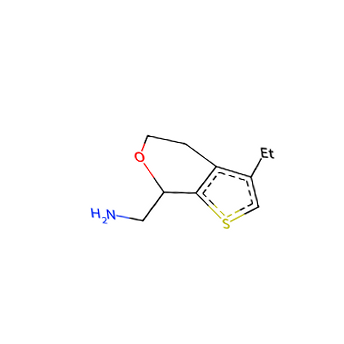 CCc1csc2c1CCOC2CN